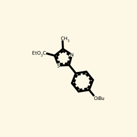 CCOC(=O)c1sc(-c2ccc(OCC(C)C)cc2)nc1C